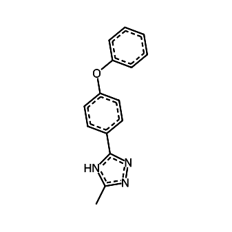 Cc1nnc(-c2ccc(Oc3ccccc3)cc2)[nH]1